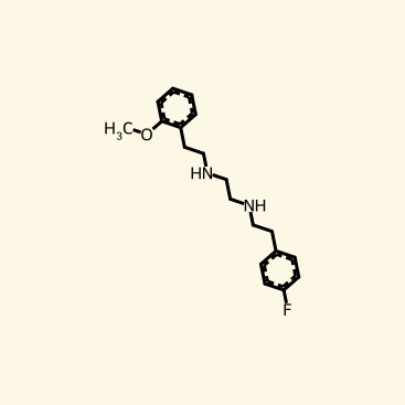 COc1ccccc1CCNCCNCCc1ccc(F)cc1